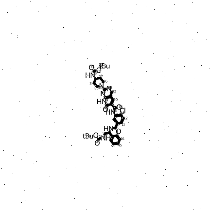 CC(C)(C)OC(=O)NCC(NC(=O)c1ccc(Cl)c(NC(=O)c2cc3cnc(N4CCC(NC(=O)OC(C)(C)C)CC4)nc3[nH]c2=O)c1)c1ccccc1